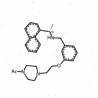 CC(=O)N1CCN(CCOc2cccc(CN[C@@H](C)c3cccc4ccccc34)c2)CC1